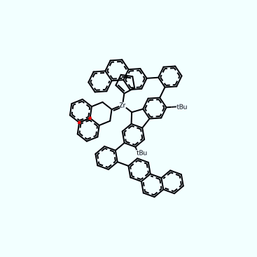 CC(C)(C)c1cc2c(cc1-c1ccccc1-c1ccc3c(ccc4ccccc43)c1)[CH]([Zr]([C]1=CC=CC1)=[C](Cc1ccccc1)Cc1ccccc1)c1cc(-c3ccccc3-c3ccc4c(ccc5ccccc54)c3)c(C(C)(C)C)cc1-2